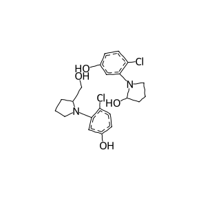 OCC1CCCN1c1cc(O)ccc1Cl.Oc1ccc(Cl)c(N2CCCC2O)c1